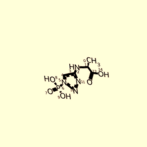 C[C@H](Nc1cn(P(=O)(O)O)nn1)C(=O)O